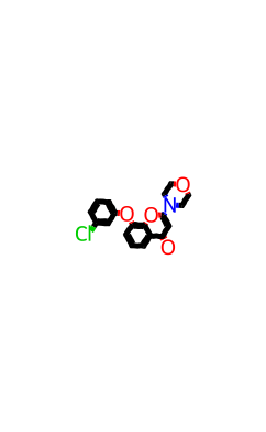 O=c1cc(N2CCOCC2)oc2c(Oc3cccc(Cl)c3)cccc12